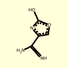 N=C(N)c1coc(O)n1